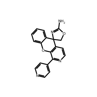 NC1=NC2(CO1)c1ccccc1Oc1c2ccnc1-c1ccncc1